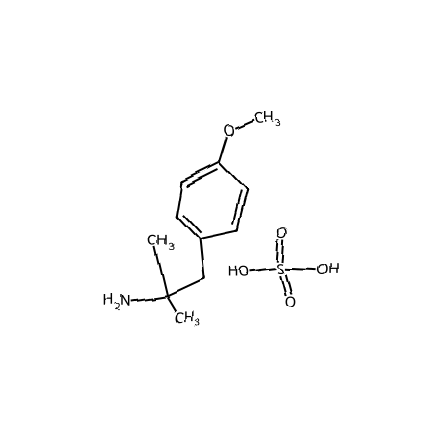 COc1ccc(CC(C)(C)N)cc1.O=S(=O)(O)O